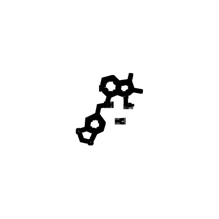 CCCn1c(C)c(C)c2ccnc(NCc3ccc4c(c3)OCO4)c21.Cl